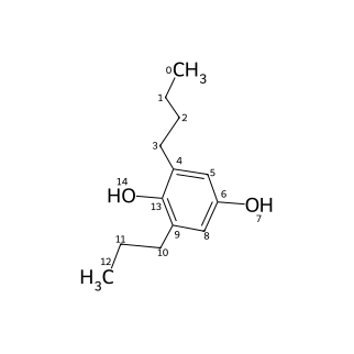 CCCCc1cc(O)cc(CCC)c1O